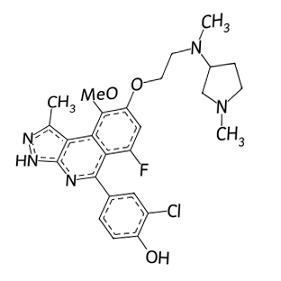 COc1c(OCCN(C)C2CCN(C)C2)cc(F)c2c(-c3ccc(O)c(Cl)c3)nc3[nH]nc(C)c3c12